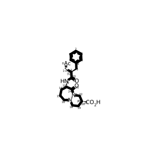 CC(=O)S[C@@H](Cc1ccccc1)C(=O)N[C@H]1CCCN2CC[C@@H](C(=O)O)CN2C1=O